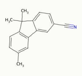 Cc1ccc2c(c1)-c1cc(C#N)ccc1C2(C)C